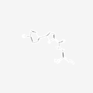 CC(C)=NNC(=O)c1ccc(-c2ccc(Cl)cc2)o1